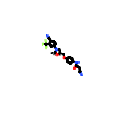 C[C@H]1O[C@H](COc2ccc(NC(=O)CC#N)cc2)CN1c1ccc(C#N)c(C(F)(F)F)c1